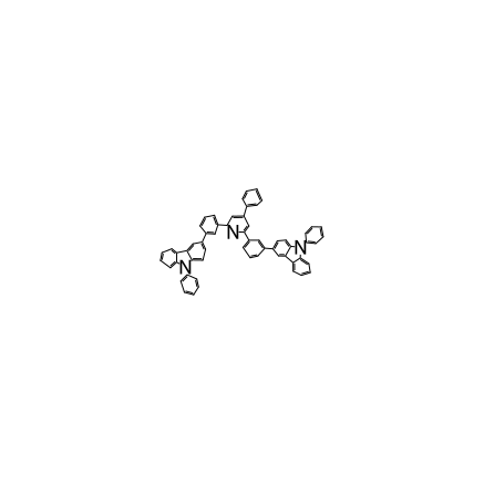 c1ccc(-c2cc(-c3cccc(-c4ccc5c(c4)c4ccccc4n5-c4ccccc4)c3)nc(-c3cccc(-c4ccc5c(c4)c4ccccc4n5-c4ccccc4)c3)c2)cc1